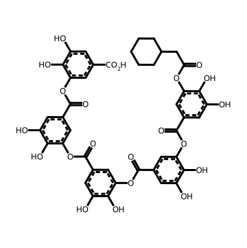 O=C(CC1CCCCC1)Oc1cc(C(=O)Oc2cc(C(=O)Oc3cc(C(=O)Oc4cc(C(=O)Oc5cc(C(=O)O)cc(O)c5O)cc(O)c4O)cc(O)c3O)cc(O)c2O)cc(O)c1O